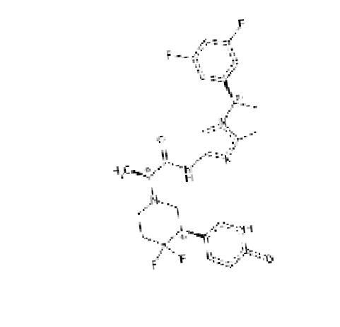 C[C@@H](C(=O)Nc1cn2c(n1)CC[C@@H]2c1cc(F)cc(F)c1)N1CCC(F)(F)[C@H](c2ccc(=O)[nH]c2)C1